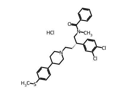 CSc1ccc(C2CCN(CC[C@H](CN(C)C(=O)c3ccccc3)c3ccc(Cl)c(Cl)c3)CC2)cc1.Cl